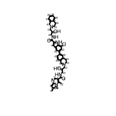 Cc1cc2ncc(C(=O)NC[C@H](O)CN3CCc4cc(-c5cc(Cl)c6[nH]c(C(=O)NC[C@H](O)CN7CCc8ccccc8C7)cc6c5)ccc4C3)c(C)n2n1